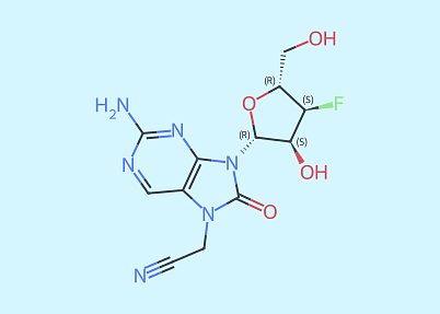 N#CCn1c(=O)n([C@@H]2O[C@H](CO)[C@@H](F)[C@H]2O)c2nc(N)ncc21